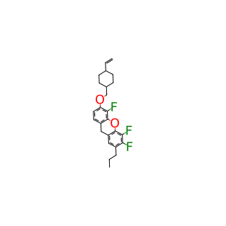 C=CC1CCC(COc2ccc3c(c2F)Oc2c(cc(CCC)c(F)c2F)C3)CC1